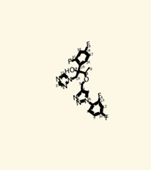 C[C@@H](OCc1cn(-c2ccc(F)cc2F)nn1)[C@](O)(Cn1cncn1)c1ccc(F)cc1F